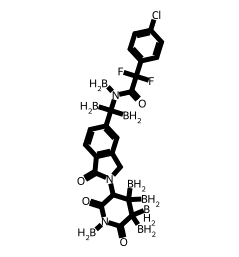 BN1C(=O)C(N2Cc3cc(C(B)(B)N(B)C(=O)C(F)(F)c4ccc(Cl)cc4)ccc3C2=O)C(B)(B)C(B)(B)C1=O